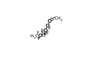 CCC1Cc2ccc(-c3ccc(-c4cc(F)c(C(F)(F)Oc5cc(F)c(C)c(F)c5)c(F)c4)c(F)c3)cc2C1